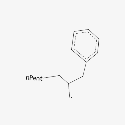 [CH2]C(CCCCCC)Cc1ccccc1